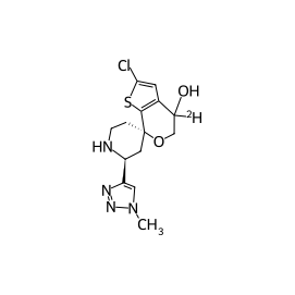 [2H]C1(O)CO[C@]2(CCN[C@H](c3cn(C)nn3)C2)c2sc(Cl)cc21